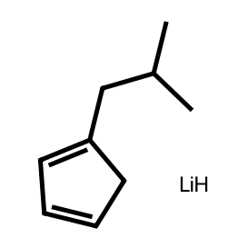 CC(C)CC1=CC=CC1.[LiH]